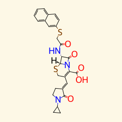 O=C(CSc1ccc2ccccc2c1)N[C@@H]1C(=O)N2C(C(=O)O)=C(/C=C3\CCN(C4CC4)C3=O)CS[C@H]12